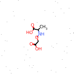 CC(NOCC(=O)O)C(=O)O